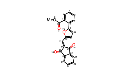 COC(=O)c1ccccc1-c1ccc(C=C2C(=O)c3ccccc3C2=O)o1